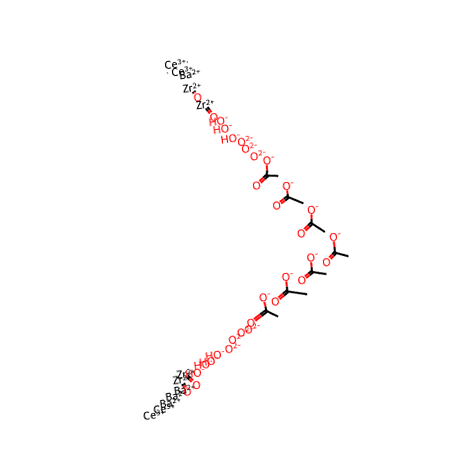 CC(=O)[O-].CC(=O)[O-].CC(=O)[O-].CC(=O)[O-].CC(=O)[O-].CC(=O)[O-].CC(=O)[O-].[Ba+2].[Ba+2].[Ba+2].[Ba+2].[Ce+3].[Ce+3].[Ce+3].[Ce+3].[O-2].[O-2].[O-2].[O-2].[O-2].[O-2].[O-2].[OH-].[OH-].[OH-].[OH-].[OH-].[OH-].[OH-].[O]=[Zr+2].[O]=[Zr+2].[O]=[Zr+2].[O]=[Zr+2]